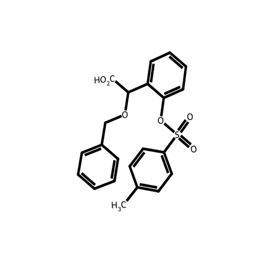 Cc1ccc(S(=O)(=O)Oc2ccccc2C(OCc2ccccc2)C(=O)O)cc1